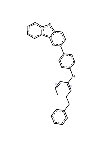 C/C=C\C(=C/CCc1ccccc1)Nc1ccc(-c2ccc3sc4ccccc4c3c2)cc1